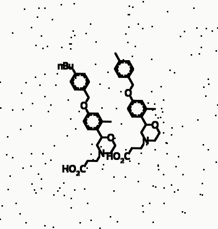 CCCCc1ccc(COc2ccc(C3CN(CCC(=O)O)CCO3)c(C)c2)cc1.Cc1ccc(COc2ccc(C3CN(CCC(=O)O)CCO3)c(C)c2)cc1